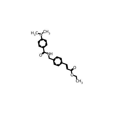 CCOC(=O)/C=C/c1ccc(CNC(=O)c2ccc(N(C)C)cc2)cc1